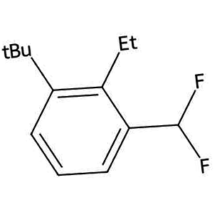 CCc1c(C(F)F)cccc1C(C)(C)C